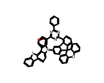 c1ccc(-c2nc(-c3ccccc3)nc(-c3cccc4c3-c3cc(-n5c6ccccc6c6c7sc8ccccc8c7ccc65)ccc3C43c4ccccc4Oc4ccccc43)n2)cc1